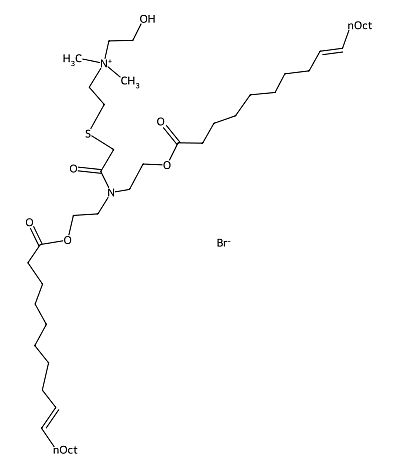 CCCCCCCCC=CCCCCCCCC(=O)OCCN(CCOC(=O)CCCCCCCC=CCCCCCCCC)C(=O)CSCC[N+](C)(C)CCO.[Br-]